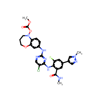 CNC(=O)c1cc(-c2cnn(C)c2)cc(F)c1Nc1nc(Nc2ccc3c(c2)OCCCN3OC(=O)OC)ncc1Cl